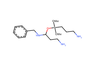 CO[Si](CCCN)(OC)OC(CCN)NCc1ccccc1